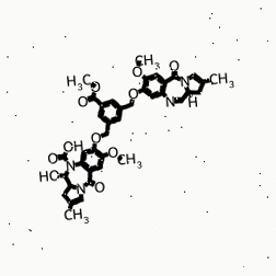 COC(=O)c1cc(COc2cc3c(cc2OC)C(=O)N2C=C(C)C[C@H]2C=N3)cc(COc2cc3c(cc2OC)C(=O)N2C=C(C)CC2C(O)N3C(=O)O)c1